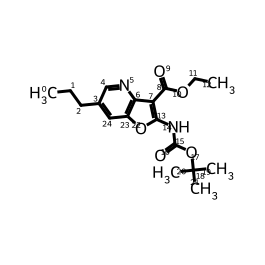 CCCc1cnc2c(C(=O)OCC)c(NC(=O)OC(C)(C)C)oc2c1